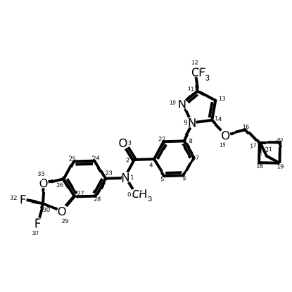 CN(C(=O)c1cccc(-n2nc(C(F)(F)F)cc2OCC23CC(C2)C3)c1)c1ccc2c(c1)OC(F)(F)O2